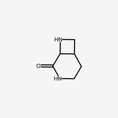 O=C1NCCC2CNC12